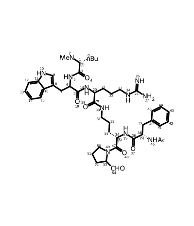 CCCC[C@@H](NC)C(=O)NC(Cc1c[nH]c2ccccc12)C(=O)NC(CCCNC(=N)N)C(=O)NCCC[C@H](NC(=O)[C@H](Cc1ccccc1)NC(C)=O)C(=O)N1CCCC1C=O